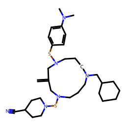 C=C1CN(Sc2ccc(N(C)C)cc2)CCCN(CC2CCCCC2)CCCN(SN2CCC(C#N)CC2)C1